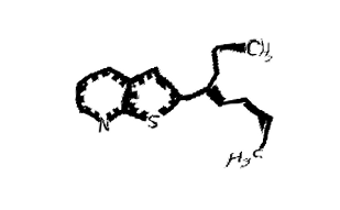 C=C/C(=C\C=C/C)c1cc2cccnc2s1